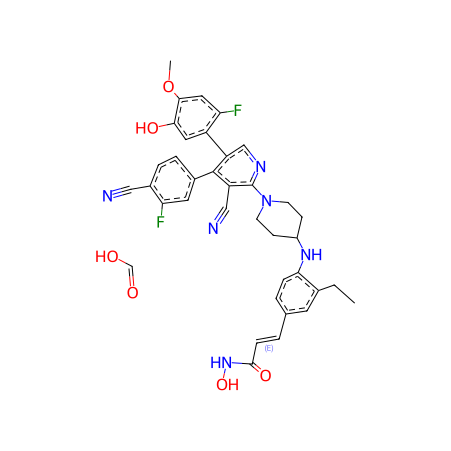 CCc1cc(/C=C/C(=O)NO)ccc1NC1CCN(c2ncc(-c3cc(O)c(OC)cc3F)c(-c3ccc(C#N)c(F)c3)c2C#N)CC1.O=CO